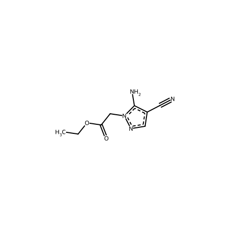 CCOC(=O)Cn1ncc(C#N)c1N